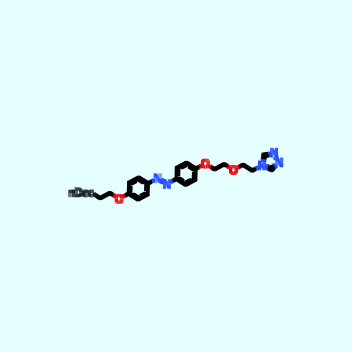 CCCCCCCCCCCCOc1ccc(N=Nc2ccc(OCCOCCn3cnnc3)cc2)cc1